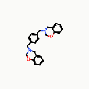 c1ccc2c(c1)CN(Cc1ccc(CN3COc4ccccc4C3)cc1)CO2